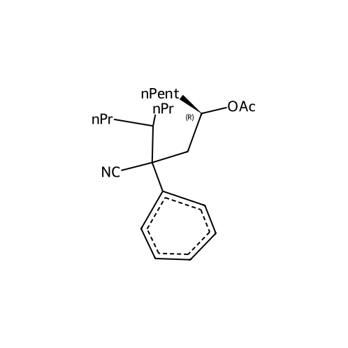 CCCCC[C@H](CC(C#N)(c1ccccc1)C(CCC)CCC)OC(C)=O